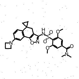 COc1cc(C(=O)N(C)C)cc(OC)c1S(=O)(=O)Nc1noc2c1CC1(CC1)c1ccc(N3CCC3)cc1-2